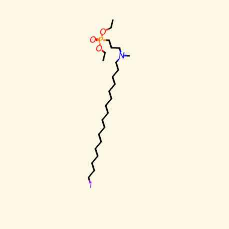 CCOP(=O)(CCCN(C)CCCCCCCCCCCCCCCCCI)OCC